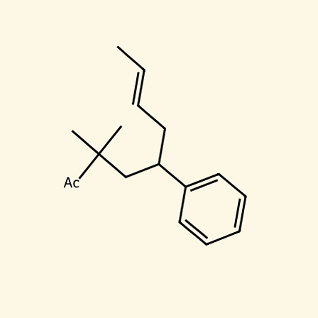 CC=CCC(CC(C)(C)C(C)=O)c1ccccc1